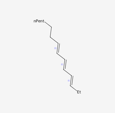 [CH2]C/C=C/C=C/C=C/CCCCCCC